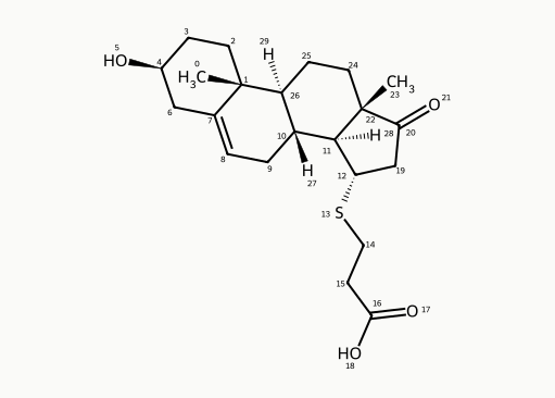 C[C@]12CC[C@H](O)CC1=CC[C@H]1[C@@H]3[C@@H](SCCC(=O)O)CC(=O)[C@@]3(C)CC[C@@H]12